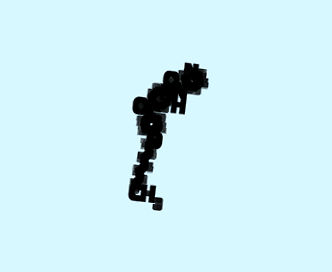 CCCCCCCCOc1ccc(C(=O)N2CCN(C(=O)Nc3cccnc3)CC2)cc1